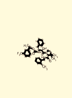 Cc1ccccc1CNC(=O)[C@H]1N(C(=O)[C@@H](O)[C@H](Cc2ccccc2)NC(=O)OC(C)c2cccc(C(F)(F)F)c2)CSC1(C)C